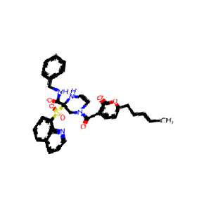 CCCCCc1ccc(C(=O)N2CCNC(C(=O)NCc3ccccc3)(S(=O)(=O)c3cccc4cccnc34)C2)c(=O)o1